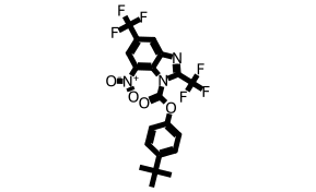 CC(C)(C)c1ccc(OC(=O)n2c(C(F)(F)F)nc3cc(C(F)(F)F)cc([N+](=O)[O-])c32)cc1